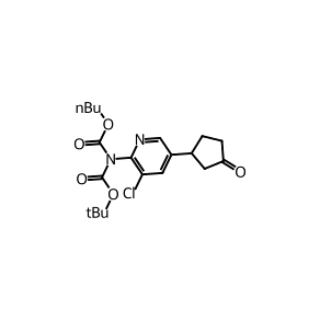 CCCCOC(=O)N(C(=O)OC(C)(C)C)c1ncc(C2CCC(=O)C2)cc1Cl